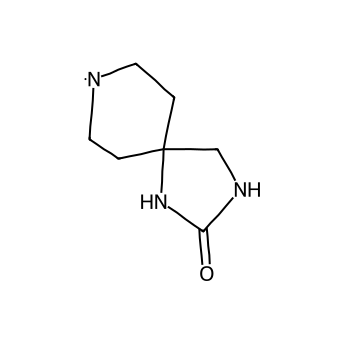 O=C1NCC2(CC[N]CC2)N1